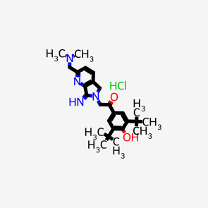 CN(C)Cc1ccc2c(n1)C(=N)N(CC(=O)c1cc(C(C)(C)C)c(O)c(C(C)(C)C)c1)C2.Cl